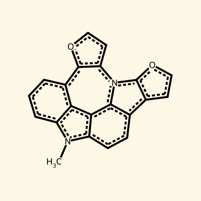 Cn1c2cccc3c4occc4n4c5occc5c5ccc1c(c32)c54